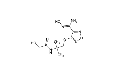 CC(C)(COc1nonc1/C(N)=N/O)NC(=O)CO